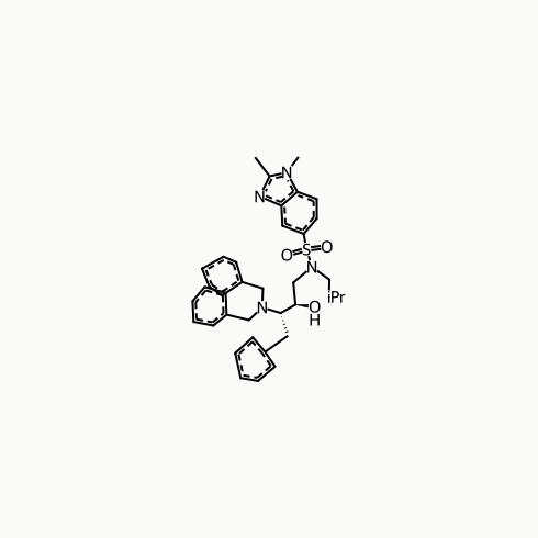 Cc1nc2cc(S(=O)(=O)N(CC(C)C)C[C@@H](O)[C@H](Cc3ccccc3)N(Cc3ccccc3)Cc3ccccc3)ccc2n1C